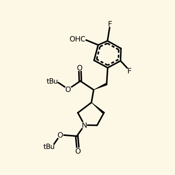 CC(C)(C)OC(=O)[C@@H](Cc1cc(C=O)c(F)cc1F)[C@H]1CCN(C(=O)OC(C)(C)C)C1